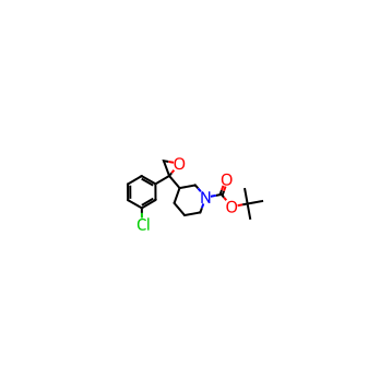 CC(C)(C)OC(=O)N1CCCC(C2(c3cccc(Cl)c3)CO2)C1